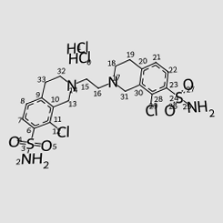 Cl.Cl.NS(=O)(=O)c1ccc2c(c1Cl)CN(CCN1CCc3ccc(S(N)(=O)=O)c(Cl)c3C1)CC2